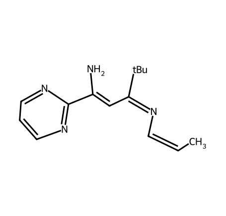 C\C=C/N=C(\C=C(/N)c1ncccn1)C(C)(C)C